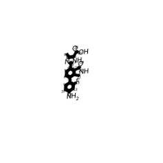 Cc1nc(-c2ccc(-c3ccc(N)cc3F)c3c2C(=O)NC3)[nH]c1C(=O)O